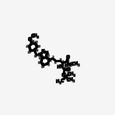 CNC(=O)[C@H](CCCc1cccc2c1nnn2Cc1ccc(OC)cc1)NC(=O)OC(C)(C)C